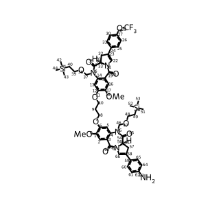 COc1cc2c(cc1OCCCOc1cc3c(cc1OC)C(=O)N1C=C(c4ccc(OC(F)(F)F)cc4)C[C@H]1C(=O)N3COCC[Si](C)(C)C)N(COCC[Si](C)(C)C)C(=O)[C@@H]1CC(c3ccc(N)cc3)=CN1C2=O